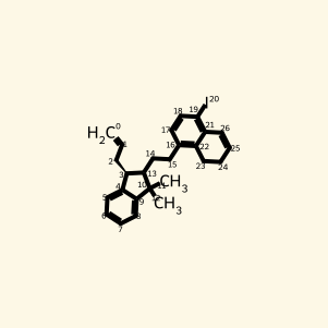 C=CC[C@@H]1c2ccccc2C(C)(C)C1CCc1ccc(I)c2c1CCC=C2